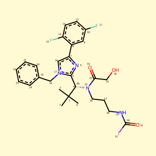 CC(C)(C)[C@H](c1nc(-c2cc(F)ccc2F)cn1Cc1ccccc1)N(CCCNC(=O)I)C(=O)CO